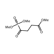 COC(=O)CCC(=O)P(=O)(OC)OC